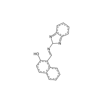 Oc1ccc2ccccc2c1C=NC1N=c2ccccc2=N1